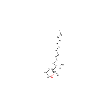 CCCCCCCCCCCC(CC)C1=C(C)OCCC1